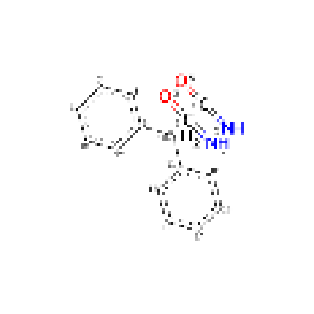 N=C=O.N=C=O.c1ccc([SiH2]c2ccccc2)cc1